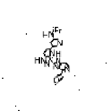 CC(C)Nc1cncc(-c2ccc3[nH]nc(-c4nc5c(-c6ccoc6)nccc5[nH]4)c3n2)c1